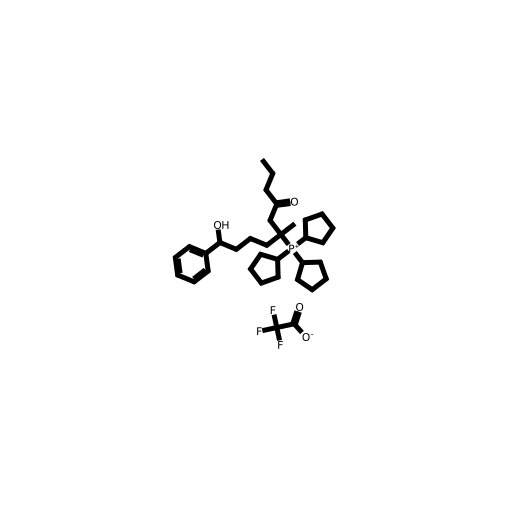 CCCC(=O)CC(C)(CCCC(O)c1ccccc1)[P+](C1CCCC1)(C1CCCC1)C1CCCC1.O=C([O-])C(F)(F)F